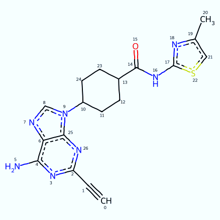 C#Cc1nc(N)c2ncn(C3CCC(C(=O)Nc4nc(C)cs4)CC3)c2n1